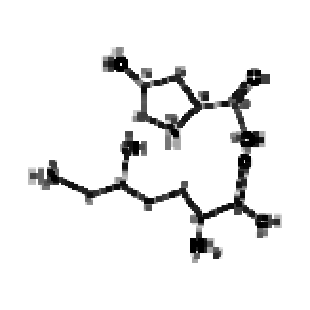 NCC(O)CCC(N)C(=O)O.O=C(O)C1CC(O)CN1